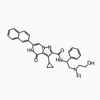 CCN(CCO)CC(NC(=O)c1nn2cc(-c3ccc4ccccc4c3)[nH]c(=O)c2c1C1CC1)c1ccccc1